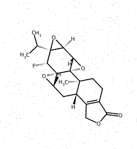 CC(C)[C@]12O[C@H]1[C@@H]1O[C@]13[C@]1(O[C@H]1C[C@H]1C4=C(CC[C@@]13C)C(=O)OC4)[C@@H]2F